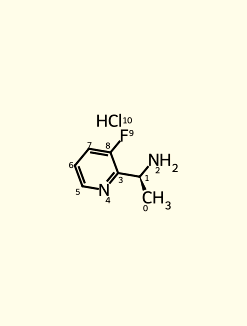 C[C@H](N)c1ncccc1F.Cl